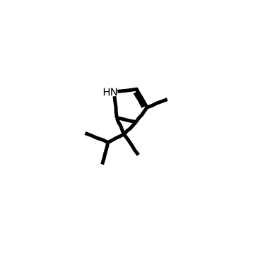 CC1=CNC2C1C2(C)C(C)C